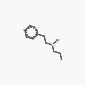 CCCN(N)CCc1ccccn1